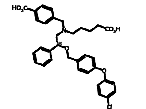 O=C(O)CCCCN(Cc1ccc(C(=O)O)cc1)C[C@H](OCc1ccc(Oc2ccc(Cl)cc2)cc1)c1ccccc1